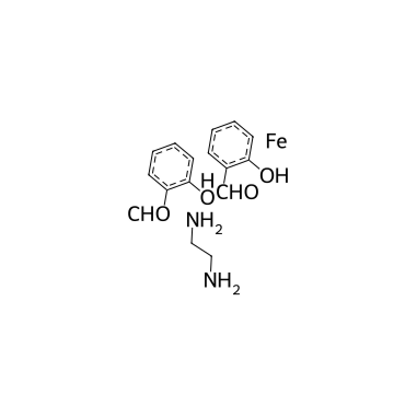 NCCN.O=Cc1ccccc1O.O=Cc1ccccc1O.[Fe]